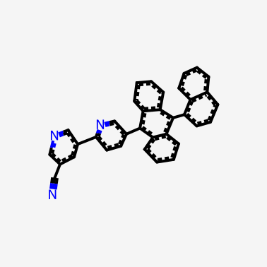 N#Cc1cncc(-c2ccc(-c3c4ccccc4c(-c4cccc5ccccc45)c4ccccc34)cn2)c1